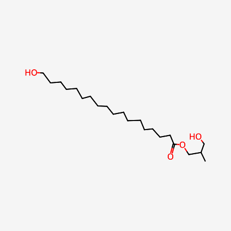 CC(CO)COC(=O)CCCCCCCCCCCCCCCCCO